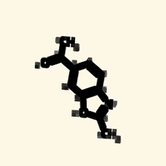 CC(=O)c1ccc2nc(C)oc2c1